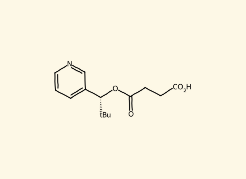 CC(C)(C)[C@@H](OC(=O)CCC(=O)O)c1cccnc1